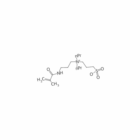 C=C(C)C(=O)NCCC[N+](CCC)(CCC)CCCS(=O)(=O)[O-]